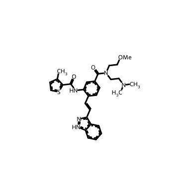 COCCN(CCN(C)C)C(=O)c1ccc(/C=C/c2n[nH]c3ccccc23)c(NC(=O)c2sccc2C)c1